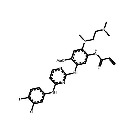 C=CC(=O)Nc1cc(Nc2nccc(Nc3ccc(F)c(Cl)c3)n2)c(OC)cc1N(C)CCN(C)C